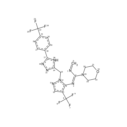 C=N/C(=N\c1c(C(F)(F)F)cnn1Cc1nnc(-c2ccc(C(F)(F)F)cc2)[nH]1)N1CCOCC1